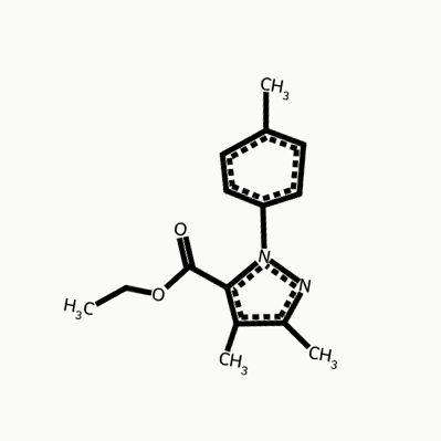 CCOC(=O)c1c(C)c(C)nn1-c1ccc(C)cc1